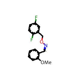 COc1ccccc1/[C]=N\OCc1cc(F)ccc1F